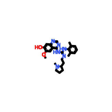 COc1cc2c(N/C(=N\CCC3CCCN3C)Nc3c(C)cccc3C)ncnc2cc1O